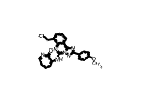 COc1ccc(-c2nc3c4cccc(CCl)c4nc(Nc4ccccnc4=O)n3n2)cc1